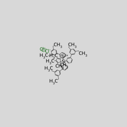 CCc1cc(CC)cc(-c2cccc([Si](c3cccc(-c4cc(CC)cc(CC)c4)c3)(c3cccc(-c4cc(CC)cc(CC)c4)c3)C3(C)C(C)=C(C)C(C)=[C]3[Ti+3])c2)c1.[Cl-].[Cl-].[Cl-]